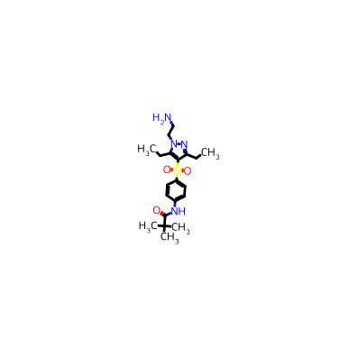 CCc1nn(CCN)c(CC)c1S(=O)(=O)c1ccc(NC(=O)C(C)(C)C)cc1